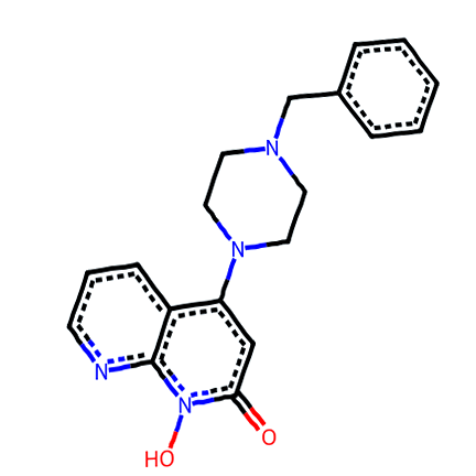 O=c1cc(N2CCN(Cc3ccccc3)CC2)c2cccnc2n1O